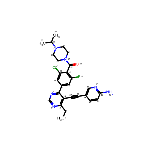 CCc1ncnc(-c2cc(F)c(C(=O)N3CCN(C(C)C)CC3)c(Cl)c2)c1C#Cc1ccc(N)nc1